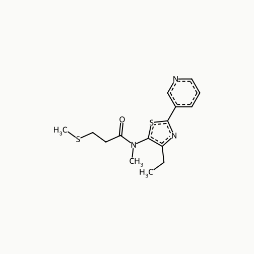 CCc1nc(-c2cccnc2)sc1N(C)C(=O)CCSC